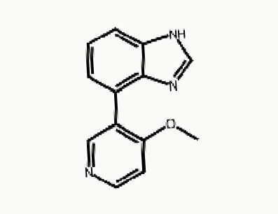 COc1ccncc1-c1cccc2[nH]cnc12